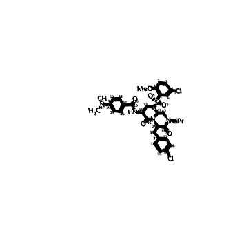 COc1ccc(Cl)cc1S(=O)(=O)N1CC(NC(=O)c2ccc(N(C)C)cc2)C(=O)N2C(Cc3ccc(Cl)cc3)C(=O)N(C(C)C)CC21